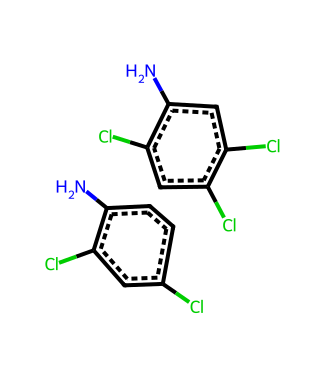 Nc1cc(Cl)c(Cl)cc1Cl.Nc1ccc(Cl)cc1Cl